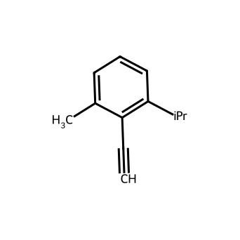 C#Cc1c(C)cccc1C(C)C